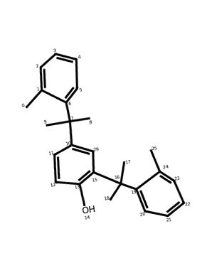 Cc1ccccc1C(C)(C)c1ccc(O)c(C(C)(C)c2ccccc2C)c1